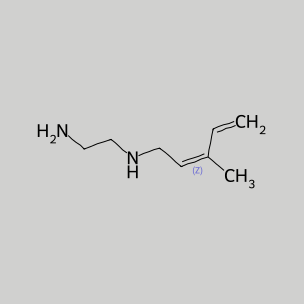 C=C/C(C)=C\CNCCN